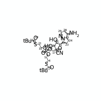 CC(C)(C)C(=O)SCCOP(=O)(OCCSC(=O)C(C)(C)C)OC[C@@]1(C#N)O[C@H](c2ccc3c(N)ccnn23)[C@H](O)[C@@H]1O